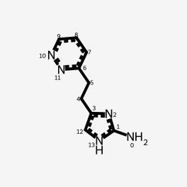 Nc1nc(CCc2cccnn2)c[nH]1